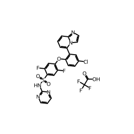 O=C(O)C(F)(F)F.O=S(=O)(Nc1ncccn1)c1cc(F)c(Oc2ccc(Cl)cc2-c2cccc3nccn23)cc1F